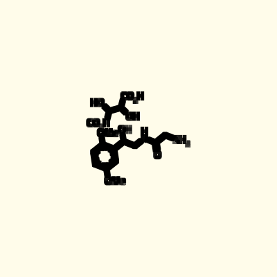 COc1ccc(OC)c(C(O)CNC(=O)CN)c1.O=C(O)C(O)C(O)C(=O)O